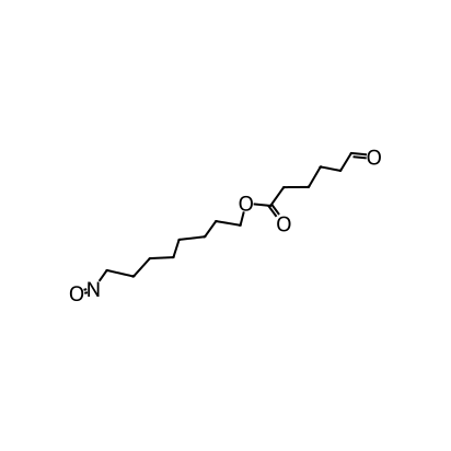 O=CCCCCC(=O)OCCCCCCCCN=O